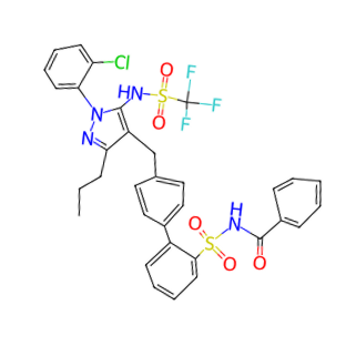 CCCc1nn(-c2ccccc2Cl)c(NS(=O)(=O)C(F)(F)F)c1Cc1ccc(-c2ccccc2S(=O)(=O)NC(=O)c2ccccc2)cc1